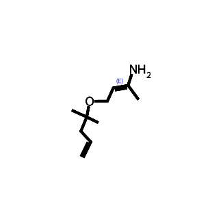 C=CCC(C)(C)OC/C=C(\C)N